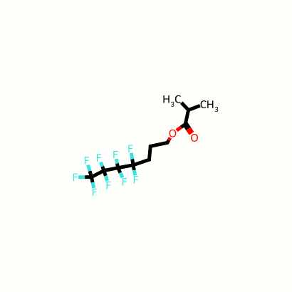 CC(C)C(=O)OCCCC(F)(F)C(F)(F)C(F)(F)C(F)(F)F